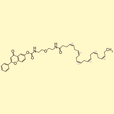 CC/C=C\C/C=C\C/C=C\C/C=C\C/C=C\C/C=C\CCC(=O)NCCOCCNC(=O)Oc1ccc2oc(-c3ccccc3)cc(=O)c2c1